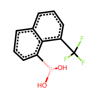 OB(O)c1cccc2cccc(C(F)(F)F)c12